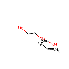 C=CC.CCCCO.OCCO